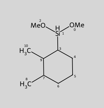 CO[SiH](OC)C1CCCC(C)C1C